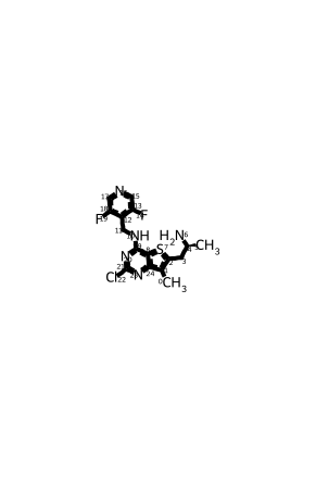 Cc1c(C[C@H](C)N)sc2c(NCc3c(F)cncc3F)nc(Cl)nc12